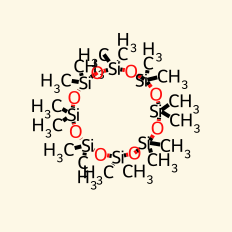 C[Si]1(C)O[Si](C)(C)O[Si](C)(C)O[Si](C)(C)O[Si](C)(C)O[Si](C)(C)O[Si](C)(C)O[Si](C)(C)O1